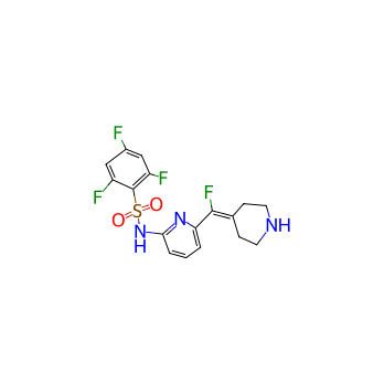 O=S(=O)(Nc1cccc(C(F)=C2CCNCC2)n1)c1c(F)cc(F)cc1F